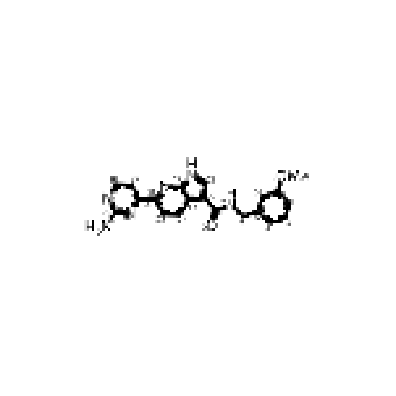 COc1cccc(CNC(=O)c2c[nH]c3nc(-c4ccnc(N)n4)ccc23)c1